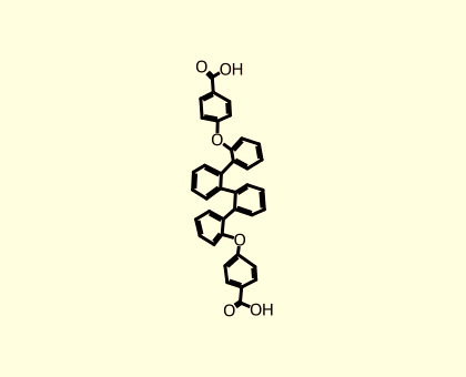 O=C(O)c1ccc(Oc2ccccc2-c2ccccc2-c2ccccc2-c2ccccc2Oc2ccc(C(=O)O)cc2)cc1